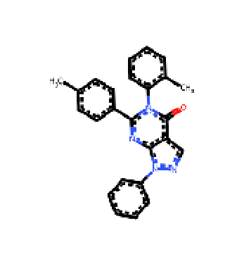 Cc1ccc(-c2nc3c(cnn3-c3ccccc3)c(=O)n2-c2ccccc2C)cc1